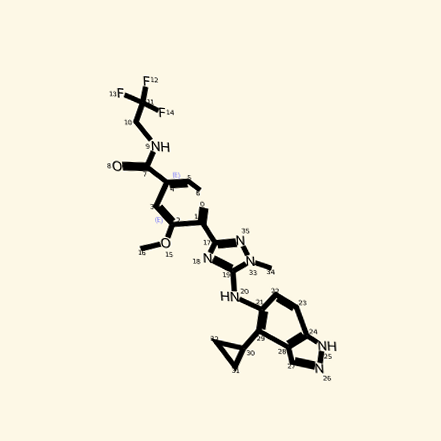 C=C(/C(=C\C(=C/C)C(=O)NCC(F)(F)F)OC)c1nc(Nc2ccc3[nH]ncc3c2C2CC2)n(C)n1